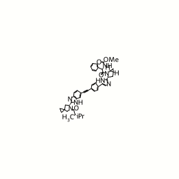 COC(=O)N[C@@H](C(=O)N1[C@@H]2C[C@@H]2C[C@H]1c1ncc(-c2ccc(C#Cc3ccc4nc([C@@H]5CC6(CC6)CN5C(=O)[C@@H](C)C(C)C)[nH]c4c3)cc2)[nH]1)c1ccccc1